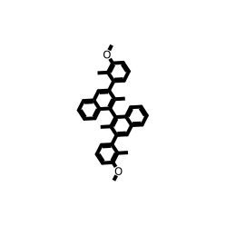 COc1cccc(-c2cc3ccccc3c(-c3c(C)c(-c4cccc(OC)c4C)cc4ccccc34)c2C)c1C